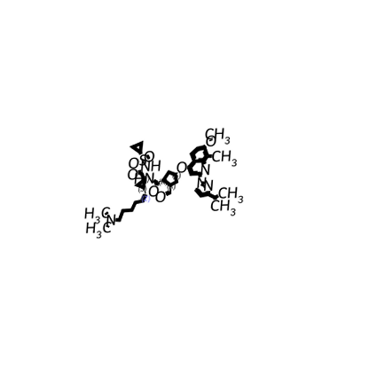 COc1ccc2c(O[C@H]3C[C@@H](C=O)[C@H](C(=O)N[C@]4(C(=O)NS(=O)(=O)C5CC5)C[C@H]4/C=C\CCCCN(C)C)C3)cc(-n3ccc(C(C)C)n3)nc2c1C